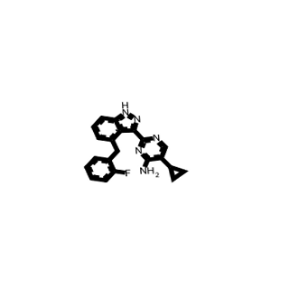 Nc1nc(-c2n[nH]c3cccc(Cc4ccccc4F)c23)ncc1C1CC1